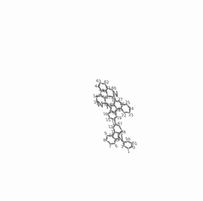 c1ccc(-n2c3ccccc3c3cc(-c4ccc5c(c4)c4c6ccccc6ccc4n5-c4nccc5c4-c4cncc6cccc-5c46)ccc32)cc1